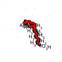 CC(=O)N[C@@H](C)C(=O)N[C@@H](C)C(=O)Nc1ccc(C(Cc2cn(CCC(N)C(=O)N(C)CCOCC(=O)N(C)CCOCC(=O)N(C)CCOCC(=O)N(C)CCOCC(=O)N(C)CCOCC(=O)O)nn2)OC(=O)N(C)CCOCCc2ccc(NC(=O)NCc3ccc4c(c3)CN(C3CCC(=O)NC3=O)C4=O)cc2Cl)cc1